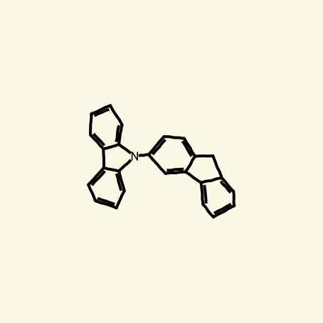 c1ccc2c(c1)Cc1ccc(-n3c4ccccc4c4ccccc43)cc1-2